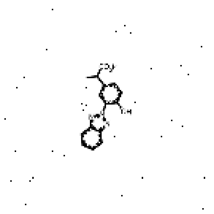 CC(C(=O)O)c1ccc(O)c(-n2nc3ccccc3n2)c1